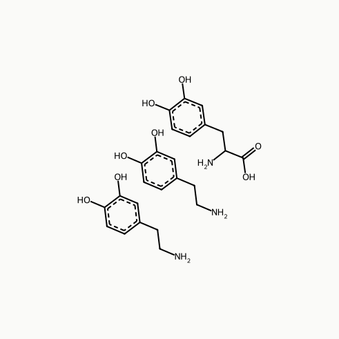 NC(Cc1ccc(O)c(O)c1)C(=O)O.NCCc1ccc(O)c(O)c1.NCCc1ccc(O)c(O)c1